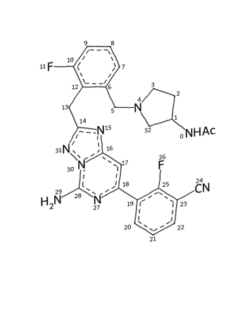 CC(=O)NC1CCN(Cc2cccc(F)c2Cc2nc3cc(-c4cccc(C#N)c4F)nc(N)n3n2)C1